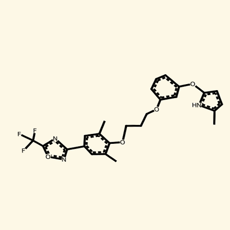 Cc1ccc(Oc2cccc(OCCCOc3c(C)cc(-c4noc(C(F)(F)F)n4)cc3C)c2)[nH]1